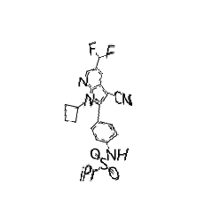 CC(C)S(=O)(=O)Nc1ccc(-c2c(C#N)c3cc(C(F)F)cnc3n2C2CCC2)cc1